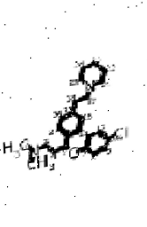 CN(C)CCC(Oc1ccc(Cl)cc1)c1ccc(CCN2CCCCC2)cc1